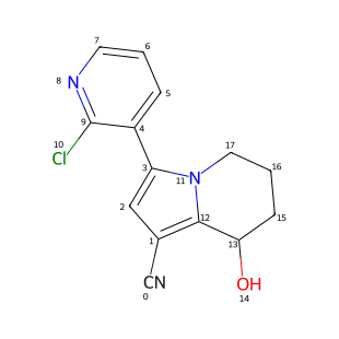 N#Cc1cc(-c2cccnc2Cl)n2c1C(O)CCC2